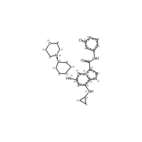 O=C(Nc1ccnc(Cl)c1)c1cnc2c(NC3CC3)cc(N[C@H]3CC[C@H](N4CCOCC4)CC3)nn12